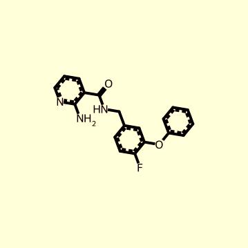 Nc1ncccc1C(=O)NCc1ccc(F)c(Oc2ccccc2)c1